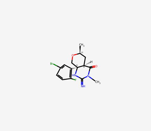 C[C@H]1C[C@H]2C(=O)N(C)C(=N)N[C@@]2(c2cc(Br)ccc2F)CO1